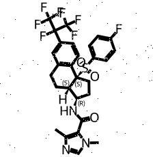 Cc1ncn(C)c1C(=O)N[C@@H]1CC[C@@]2(S(=O)(=O)c3ccc(F)cc3)c3ccc(C(F)(C(F)(F)F)C(F)(F)F)cc3CC[C@@H]12